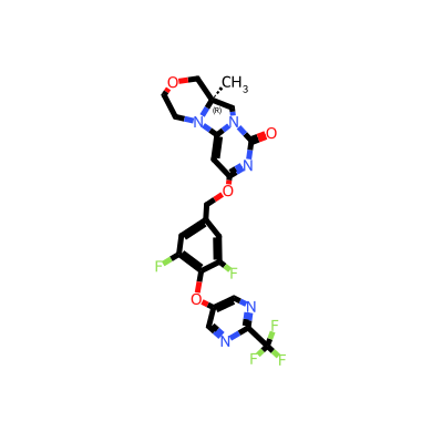 C[C@@]12COCCN1c1cc(OCc3cc(F)c(Oc4cnc(C(F)(F)F)nc4)c(F)c3)nc(=O)n1C2